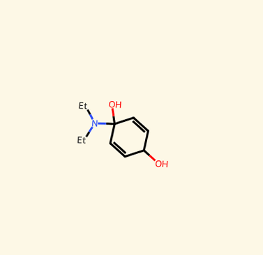 CCN(CC)C1(O)C=CC(O)C=C1